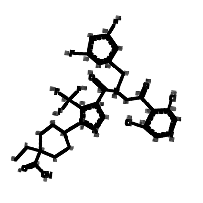 CCC1(C(=O)O)CCC(n2ncc(C(=O)N(CC(=O)c3c(Cl)cncc3Cl)Cc3cc(F)cc(F)c3)c2C(F)(F)F)CC1